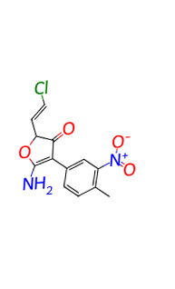 Cc1ccc(C2=C(N)OC(C=CCl)C2=O)cc1[N+](=O)[O-]